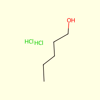 CCCCCO.Cl.Cl